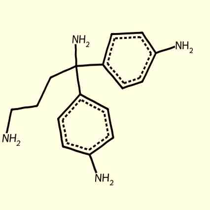 NCCCC(N)(c1ccc(N)cc1)c1ccc(N)cc1